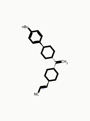 C=C([C@H]1CC[C@H](/C=C/C#N)CC1)[C@H]1CC[C@H](c2ccc(CCCC)cc2)CC1